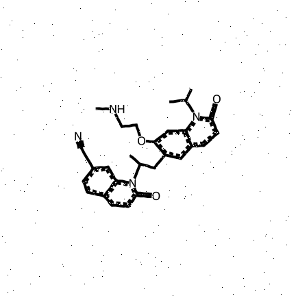 CNCCOc1cc2c(ccc(=O)n2C(C)C)cc1CC(C)n1c(=O)ccc2ccc(C#N)cc21